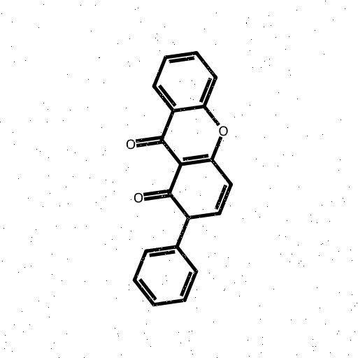 O=C1c2c(oc3ccccc3c2=O)C=CC1c1ccccc1